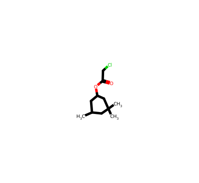 CC1CC(OC(=O)CCl)CC(C)(C)C1